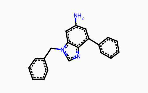 Nc1cc(-c2ccccc2)c2ncn(Cc3ccccc3)c2c1